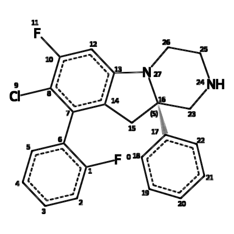 Fc1ccccc1-c1c(Cl)c(F)cc2c1C[C@]1(c3ccccc3)CNCCN21